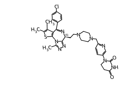 Cc1sc2c(c1C)C(c1ccc(Cl)cc1)=N[C@@H](CCN1CCN(Cc3ccc(N4CCC(=O)NC4=O)cn3)CC1)c1nnc(C)n1-2